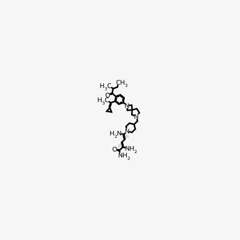 CCC(C)C(=O)c1ccc(N2CC3(CCN(CC4CCN(/C(N)=C/C=C(\N)C(N)=O)CC4)C3)C2)cc1C(C)=C1CC1